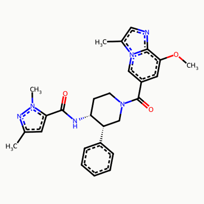 COc1cc(C(=O)N2CC[C@@H](NC(=O)c3cc(C)nn3C)[C@@H](c3ccccc3)C2)cn2c(C)cnc12